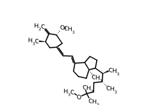 C=C1[C@H](C)C/C(=C/C=C2\CCC[C@@]3(C)C2CCC3[C@@H](C)[C@H](C)CCC(C)(C)OC)C[C@H]1OC